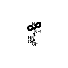 O=C(O)CNCCNc1c2ccccc2nc2ccccc12